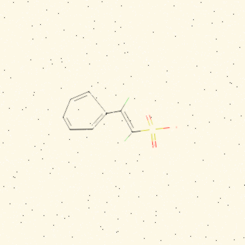 O=S(=O)(O)C(Cl)=C(Cl)c1ccccc1